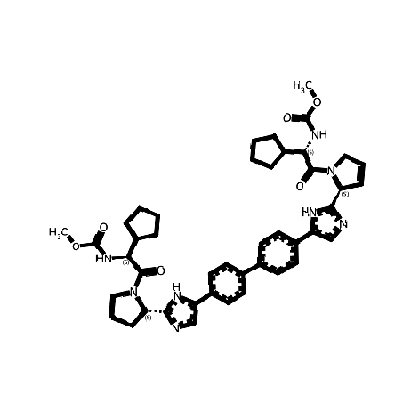 COC(=O)N[C@H](C(=O)N1CC=C[C@H]1c1ncc(-c2ccc(-c3ccc(-c4cnc([C@@H]5CCCN5C(=O)[C@@H](NC(=O)OC)C5CCCC5)[nH]4)cc3)cc2)[nH]1)C1CCCC1